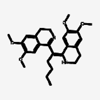 CCCC/C(C1=NCCc2cc(OC)c(OC)cc21)=C1\NCCc2cc(OC)c(OC)cc21